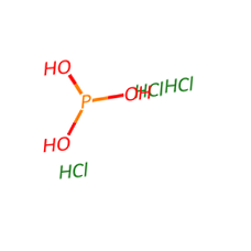 Cl.Cl.Cl.OP(O)O